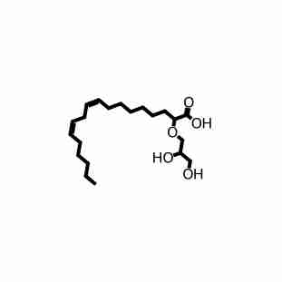 CCCCC/C=C\C/C=C\CCCCCCC(OCC(O)CO)C(=O)O